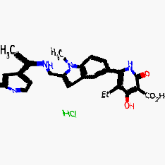 CCc1c(-c2ccc3c(c2)cc(CNC(C)c2ccncc2)n3C)[nH]c(=O)c(C(=O)O)c1O.Cl